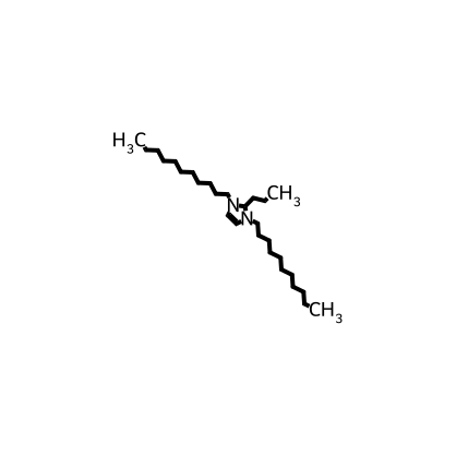 CCCCCCCCCCCN1C=CN(CCCCCCCCCCC)C1CCC